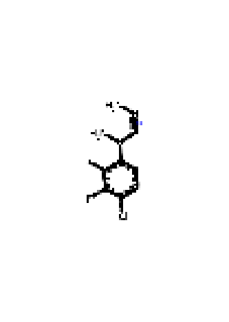 Cc1c(N(N)/C=N\N)ccc(Cl)c1F